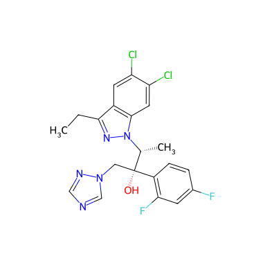 CCc1nn([C@H](C)[C@](O)(Cn2cncn2)c2ccc(F)cc2F)c2cc(Cl)c(Cl)cc12